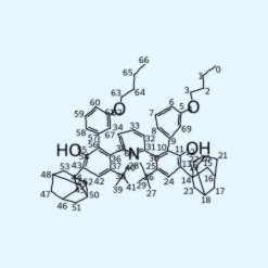 CCCCOc1cccc(-c2c(O)c(C34CC5CC(CC(C5)C3)C4)cc(C(C)(C)C)c2-c2cccc(-c3c(C(C)(C)C)cc(C45CC6CC(CC(C6)C4)C5)c(O)c3-c3cccc(OCCCC)c3)n2)c1